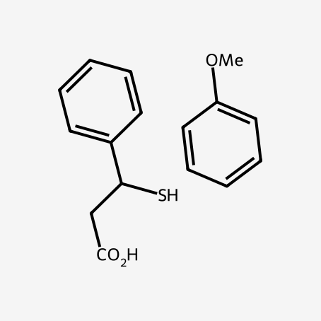 COc1ccccc1.O=C(O)CC(S)c1ccccc1